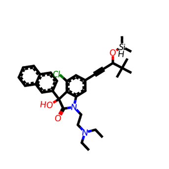 CCN(CC)CCN1C(=O)C(O)(c2ccc3ccccc3c2)c2c(Cl)cc(C#CC(O[SiH](C)C)C(C)(C)C)cc21